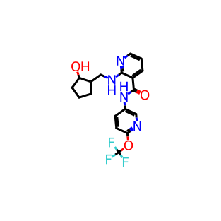 O=C(Nc1ccc(OC(F)(F)F)nc1)c1cccnc1NCC1CCCC1O